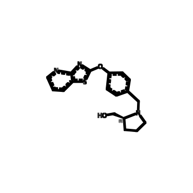 OC[C@@H]1CCCN1Cc1ccc(Oc2nc3ncccc3s2)cc1